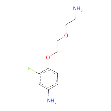 NCCOCCOc1ccc(N)cc1F